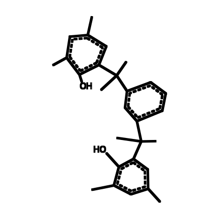 Cc1cc(C)c(O)c(C(C)(C)c2cccc(C(C)(C)c3cc(C)cc(C)c3O)c2)c1